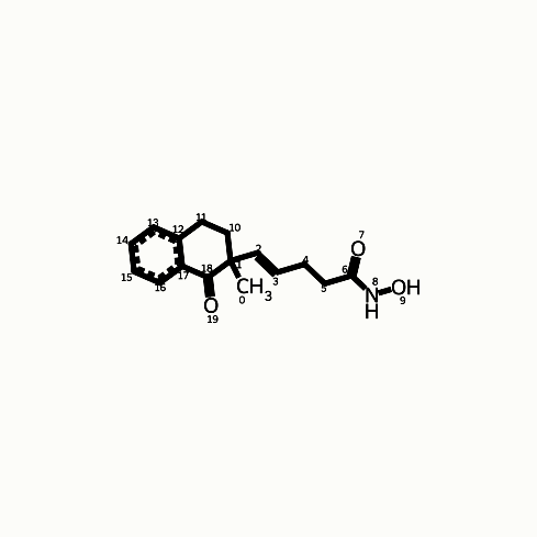 CC1(C=CCCC(=O)NO)CCc2ccccc2C1=O